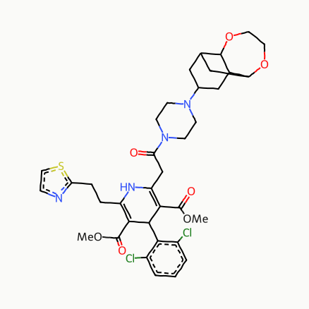 COC(=O)C1=C(CCc2nccs2)NC(CC(=O)N2CCN(C3CC4CC5OCCOC4C5C3)CC2)=C(C(=O)OC)C1c1c(Cl)cccc1Cl